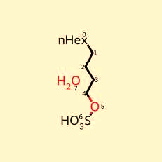 CCCCCCCCCCOS(=O)(=O)O.O